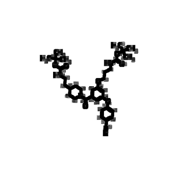 CC(C)(C)OC(=O)NCCCOc1cc(Oc2ccc(C#N)cc2)cc(C(=O)N2CCC(CCNC(=O)OC(C)(C)C)CC2)c1